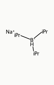 CC(C)[BH-](C(C)C)C(C)C.[Na+]